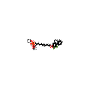 CCOOP(=O)(CCCCCCCCCCCOc1cc(C)c(C2CCCCC2)c(F)c1F)OOCC